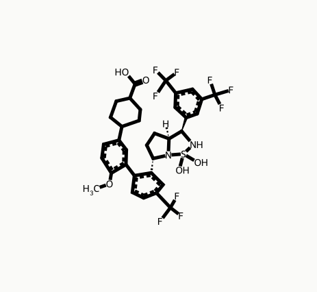 COc1ccc(C2CCC(C(=O)O)CC2)cc1-c1ccc(C(F)(F)F)cc1[C@@H]1CC[C@H]2[C@@H](c3cc(C(F)(F)F)cc(C(F)(F)F)c3)NS(O)(O)N12